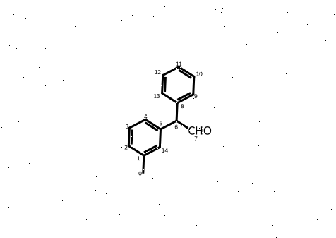 Cc1cccc(C(C=O)c2ccccc2)c1